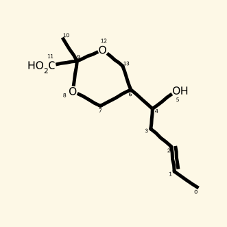 CC=CCC(O)C1COC(C)(C(=O)O)OC1